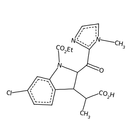 CCOC(=O)N1c2cc(Cl)ccc2C(C(C)C(=O)O)C1C(=O)c1nccn1C